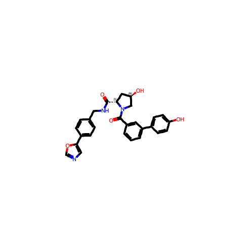 O=C(NCc1ccc(-c2cnco2)cc1)[C@@H]1C[C@@H](O)CN1C(=O)c1cccc(-c2ccc(O)cc2)c1